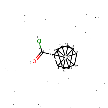 O=C(Cl)[C]12[CH]3[CH]4[CH]5[CH]1[Ru]45321678[CH]2[CH]1[CH]6[CH]7[CH]28